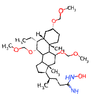 CC[C@H]1[C@@H](OCOC)C2C3CC[C@H]([C@H](C)CCC(=N)NO)[C@@]3(C)C[C@H](OCOC)C2[C@@]2(C)CC[C@@H](OCOC)C[C@@H]12